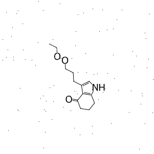 CCOOCCCc1c[nH]c2c1C(=O)CCC2